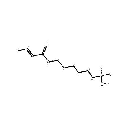 CC=CC(=O)OCCCCCC[Si](C)(C)OC